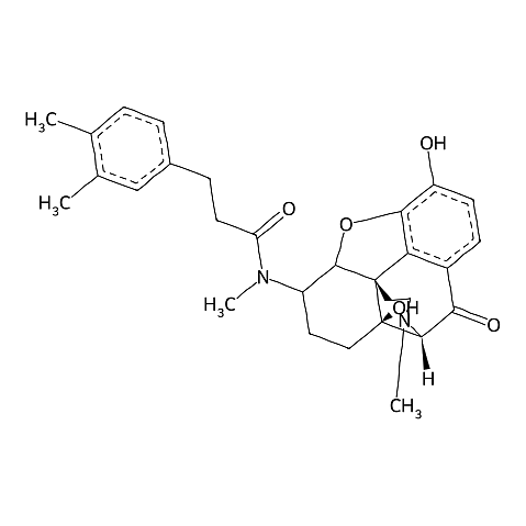 Cc1ccc(CCC(=O)N(C)C2CC[C@@]3(O)[C@H]4C(=O)c5ccc(O)c6c5[C@@]3(CCN4C)C2O6)cc1C